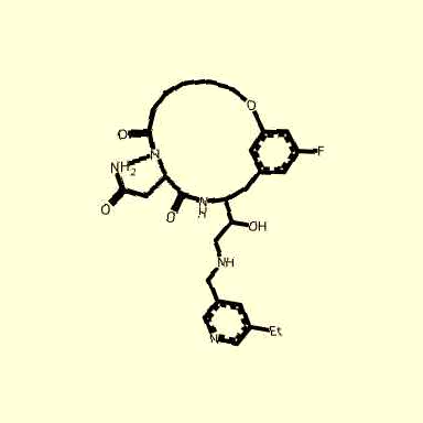 CCc1cncc(CNCC(O)C2Cc3cc(F)cc(c3)OCCCCCC(=O)N(C)C(CC(N)=O)C(=O)N2)c1